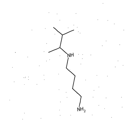 CC(C)C(C)NCCCCN